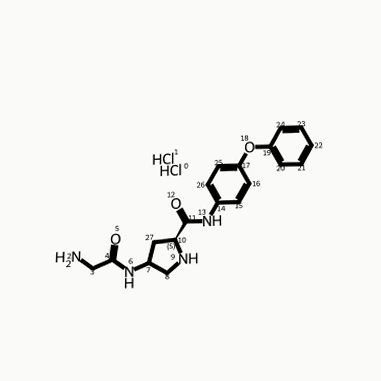 Cl.Cl.NCC(=O)NC1CN[C@H](C(=O)Nc2ccc(Oc3ccccc3)cc2)C1